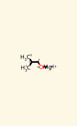 CC(C)C[O][Mg][I]